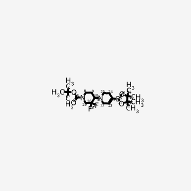 CC(C)(C)OC(=O)N1CCC(N2CC=C(B3OC(C)(C)C(C)(C)O3)CC2)C(F)(F)C1